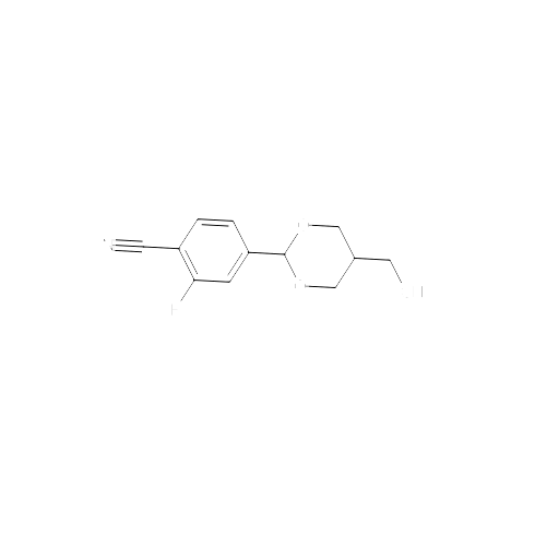 CCC1COC(c2ccc(C#N)c(F)c2)OC1